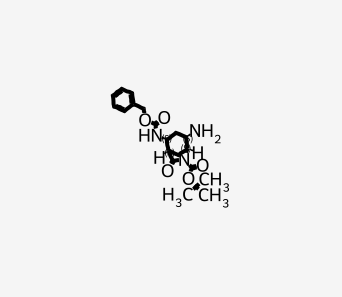 CC(C)(C)OC(=O)N1C(=O)[C@@H]2C[C@H]1[C@@H](N)C[C@@H]2NC(=O)OCc1ccccc1